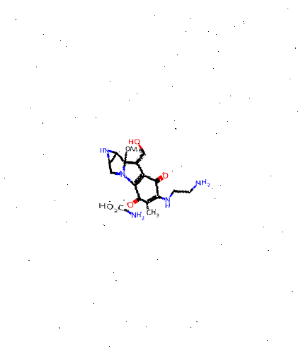 COC12C(CO)C3=C(C(=O)C(C)=C(NCCN)C3=O)N1CC1NC12.NC(=O)O